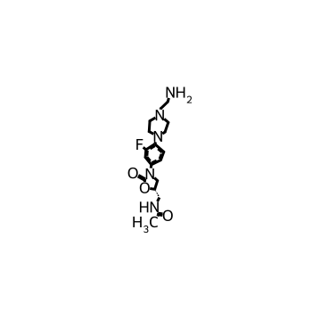 CC(=O)NC[C@H]1CN(c2ccc(N3CCN(CCN)CC3)c(F)c2)C(=O)O1